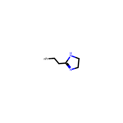 CCCCCC1=NCCN1